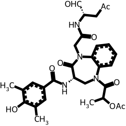 CC(=O)C[C@@H](C=O)NC(=O)CN1C(=O)[C@@H](NC(=O)c2cc(C)c(O)c(C)c2)CN(C(=O)C(C)OC(C)=O)c2ccccc21